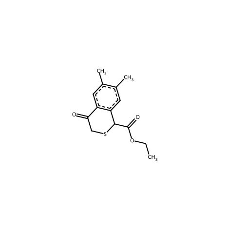 CCOC(=O)C1SCC(=O)c2cc(C)c(C)cc21